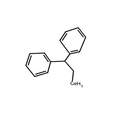 [GeH3][CH2]C(c1ccccc1)c1ccccc1